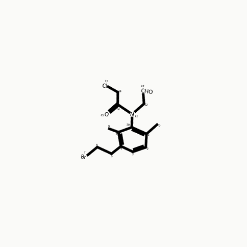 Cc1ccc(CCBr)c(C)c1N(CC=O)C(=O)CCl